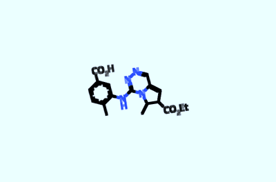 CCOC(=O)C1C=C2C=NN=C(Nc3cc(C(=O)O)ccc3C)N2C1C